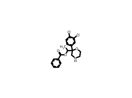 CC(OC(=O)c1ccccc1)C1(c2ccc(Cl)c(Cl)c2)CNCCO1